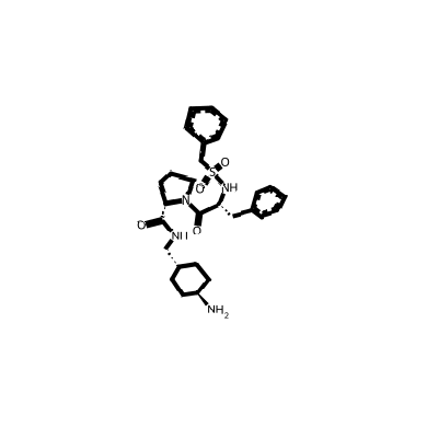 N[C@H]1CC[C@H](CNC(=O)[C@@H]2CCCN2C(=O)[C@@H](Cc2ccccc2)NS(=O)(=O)Cc2ccccc2)CC1